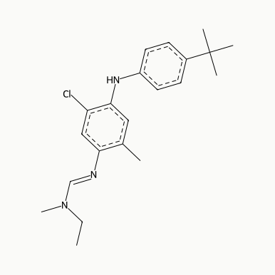 CCN(C)C=Nc1cc(Cl)c(Nc2ccc(C(C)(C)C)cc2)cc1C